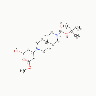 COC(=O)CC(CCO)N1CCC2(CCN(C(=O)OC(C)(C)C)CC2)CC1